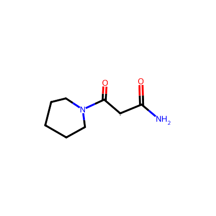 NC(=O)[CH]C(=O)N1CCCCC1